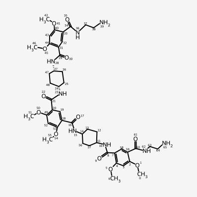 COc1cc(OC)c(C(=O)NC2CCC(NC(=O)c3cc(C(=O)N[C@H]4CC[C@@H](NC(=O)c5cc(C(=O)NCCN)c(OC)cc5OC)CC4)c(OC)cc3OC)CC2)cc1C(=O)NCCN